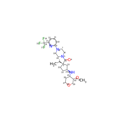 CC[C@]1(C(=O)N2CCN(c3cccc(C(F)(F)F)n3)CC2)CC[C@H](NC2CCOCC2OC)C1